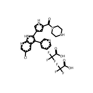 O=C(O)C(F)(F)F.O=C(O)C(F)(F)F.O=C(c1cc(-c2[nH]c3ncc(Cl)cc3c2-c2cccnc2)c[nH]1)N1CCNCC1